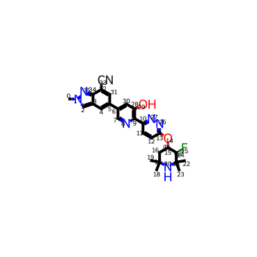 Cn1cc2cc(-c3cnc(-c4ccc(O[C@@H]5CC(C)(C)NC(C)(C)[C@@H]5F)nn4)c(O)c3)cc(C#N)c2n1